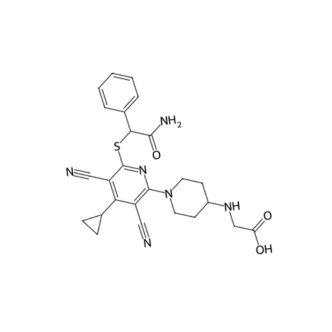 N#Cc1c(SC(C(N)=O)c2ccccc2)nc(N2CCC(NCC(=O)O)CC2)c(C#N)c1C1CC1